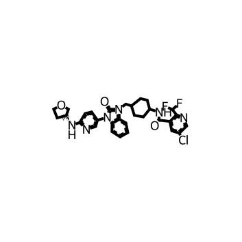 O=C(NC1CCC(Cn2c(=O)n(-c3ccc(N[C@@H]4CCOC4)nc3)c3ccccc32)CC1)c1cc(Cl)cnc1C(F)F